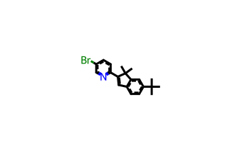 CC(C)(C)c1ccc2c(c1)C(C)(C)C(c1ccc(Br)cn1)=C2